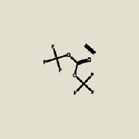 C=C.O=C(OC(F)(F)F)OC(F)(F)F